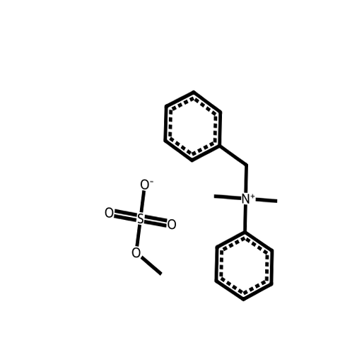 COS(=O)(=O)[O-].C[N+](C)(Cc1ccccc1)c1ccccc1